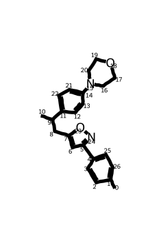 Cc1ccc(-c2cc(CC(C)c3ccc(N4CCOCC4)cc3)on2)cc1